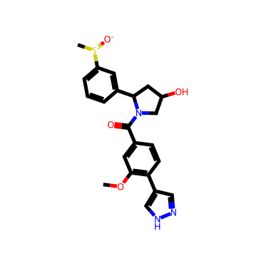 COc1cc(C(=O)N2CC(O)CC2c2cccc([S+](C)[O-])c2)ccc1-c1cn[nH]c1